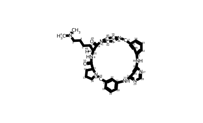 CN(C)CCCC[C@@H]1NC(=O)C2CCCN2Cc2cccc(c2)Nc2cc(ncn2)Nc2cccc(c2)CN2CCN(CC2)C1=O